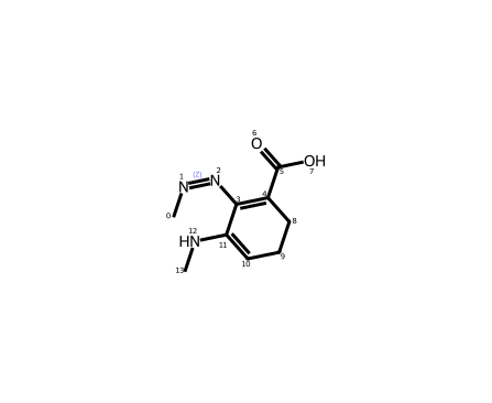 C/N=N\C1=C(C(=O)O)CCC=C1NC